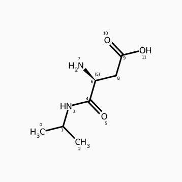 CC(C)NC(=O)[C@@H](N)CC(=O)O